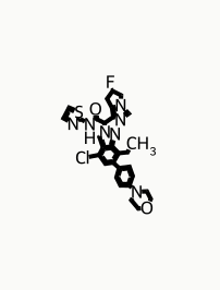 CCc1c(-c2ccc(N3CCOCC3)cc2)cc(Cl)c2cn(C(C(=O)Nc3nccs3)c3ncn4c3C[C@@H](F)C4)nc12